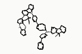 CC1(C)c2ccccc2-c2ccc(N(c3ccc(-c4ccccc4)cc3)c3ccc(-c4ccc(-n5c6ccccc6c6ccc7c(c65)C(C)(C)c5c-7ccc6c5Sc5ccccc5S6)cc4)cc3)cc21